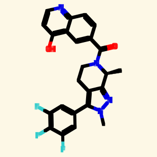 C[C@H]1c2nn(C)c(-c3cc(F)c(F)c(F)c3)c2CCN1C(=O)c1ccc2nccc(O)c2c1